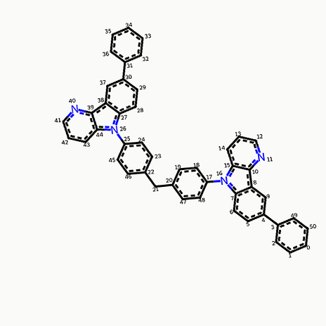 c1ccc(-c2ccc3c(c2)c2ncccc2n3-c2ccc(Cc3ccc(-n4c5ccc(-c6ccccc6)cc5c5ncccc54)cc3)cc2)cc1